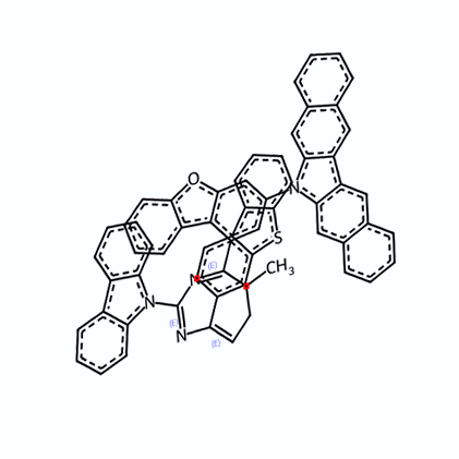 CC1C/C=C(c2ccc3c(c2)sc2ccccc23)/N=C(n2c3ccccc3c3ccccc32)\N=C/1c1cc(-n2c3cc4ccccc4cc3c3cc4ccccc4cc32)cc2oc3ccccc3c12